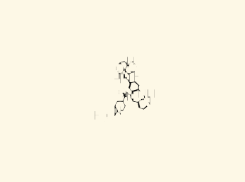 O=C(C1CCN(CC(F)(F)F)CC1)N1Cc2cccnc2Nc2cc(F)c(N[C@@H]3CO[C@@H]4CCO[C@H]34)cc21